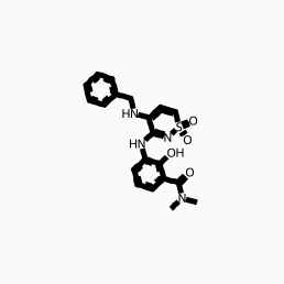 CN(C)C(=O)c1cccc(NC2=NS(=O)(=O)C=C=C2NCc2ccccc2)c1O